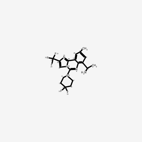 Cc1cc(C(C)N)c2nc(N3CCC(F)(F)CC3)n3cc(C(F)(F)F)nc3c2c1